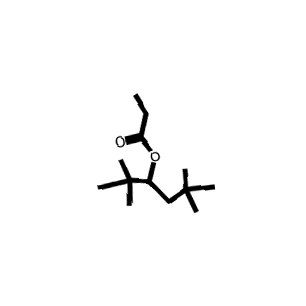 CCC(=O)OC(CC(C)(C)C)C(C)(C)C